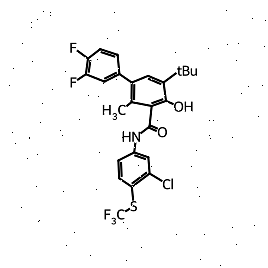 Cc1c(-c2ccc(F)c(F)c2)cc(C(C)(C)C)c(O)c1C(=O)Nc1ccc(SC(F)(F)F)c(Cl)c1